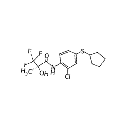 C[C@@](O)(C(=O)Nc1ccc(SC2CCCC2)cc1Cl)C(F)(F)F